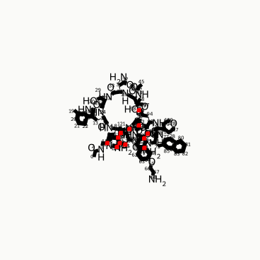 CC(=O)NCCCC[C@@H]1NC(=O)[C@H](Cc2c[nH]c3c(C)cccc23)NC(=O)[C@H]([C@@H](C)O)NC(=O)[C@H](CC(N)=O)NC(=O)[C@@H](NC(C)=O)C(C)(C)SSC(C)(C)[C@@H](C(=O)NC(Cc2ccc(OCCN)cc2)C(=O)N[C@@H](Cc2ccc3ccccc3c2)C(=O)NC2(C(=O)N[C@@H](CCC(=O)O)C(=O)N[C@@H](CC(N)=O)C(=O)N[C@@H](Cc3cccnc3)C(=O)N(C)CC(N)=O)CCOCC2)NC1=O